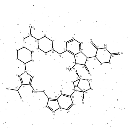 CN(C[C@H]1CC[C@H](n2cc(NCc3cnn4ccc(N5C[C@H]6C[C@@H]5CO6)nc34)c(C(F)F)n2)CC1)C1CCN(Cc2cccc3c2n(C)c(=O)n3C2CCC(=O)NC2=O)CC1